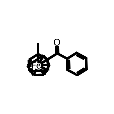 C[C]12[CH]3[CH]4[CH]5[C]1(C(=O)c1ccccc1)[Fe]43521678[CH]2[CH]1[CH]6[CH]7[CH]28